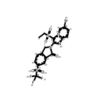 CCS(=O)(=O)c1c(N2Cc3ccc(S(=O)(=O)C(F)(F)F)cc3C2=O)nc2ccc(Br)cn12